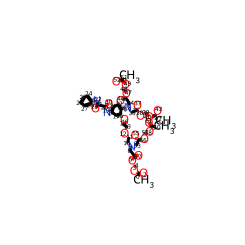 CC(=O)OCOC(=O)CN(CCOCCOc1cc2nc(-c3nc4ccccc4o3)oc2cc1N(CC(=O)OCOC(C)=O)CC(=O)OCOC(C)=O)CC(=O)OCOC(C)=O